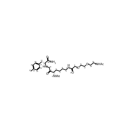 CN[C@@H](CCCCNC(=O)COCCOCCNC(C)=O)C(=O)CN[C@H](Cc1ccc(C)cc1)C(N)=O